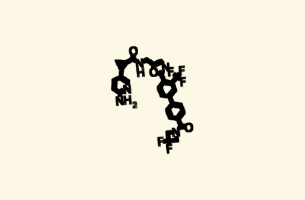 Nc1ccc(C2CC2C(=O)NCc2cnc(-c3ccc(-c4ccc(C(=O)N5CC(F)(F)C5)cc4)cc3C(F)(F)F)o2)cn1